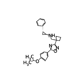 CC(C)Oc1ccc(-c2nc(C3(CNC4C[C@@H]4c4ccccc4)CCC3)no2)cc1